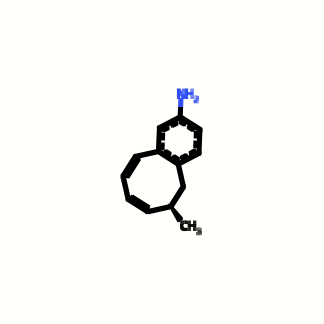 C[C@H]1/C=C\C=C/c2cc(N)ccc2C1